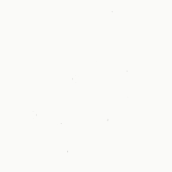 O=C(O)C1C[CH]c2ccccc2O1